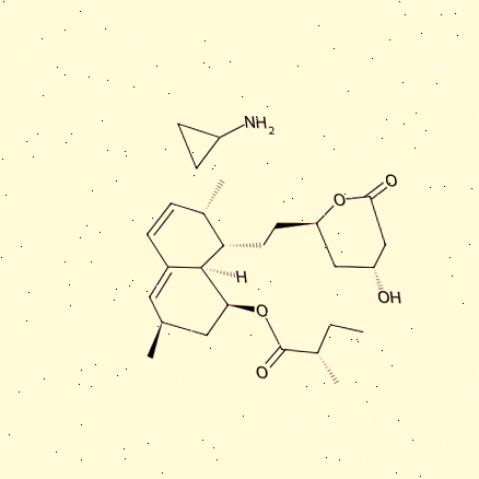 CC[C@H](C)C(=O)O[C@H]1C[C@@H](C)C=C2C=C[C@H](C)[C@H](CC[C@@H]3C[C@@H](O)CC(=O)O3)[C@H]21.NC1CC1